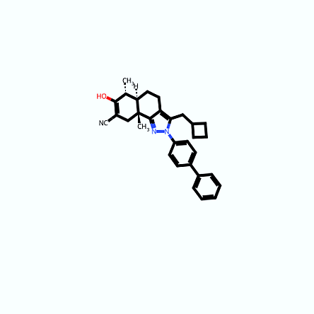 C[C@H]1C(O)=C(C#N)C[C@@]2(C)c3nn(-c4ccc(-c5ccccc5)cc4)c(CC4CCC4)c3CC[C@H]12